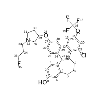 Oc1ccc2c(c1)CCCC(c1ccc(OC(F)(F)F)cc1Cl)=C2c1ccc(O[C@H]2CCN(CCCF)C2)cc1